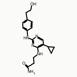 NC(=O)CCNc1nc(Nc2ccc(CCO)cc2)ncc1C1CC1